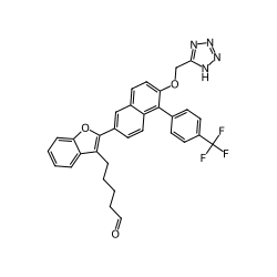 O=CCCCCc1c(-c2ccc3c(-c4ccc(C(F)(F)F)cc4)c(OCc4nnn[nH]4)ccc3c2)oc2ccccc12